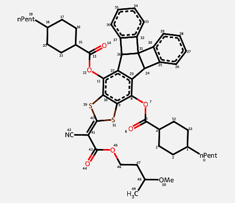 CCCCCC1CCC(C(=O)Oc2c3c(c(OC(=O)C4CCC(CCCCC)CC4)c4c2C2c5ccccc5C25c2ccccc2C45)SC(=C(C#N)C(=O)OCCC(C)OC)S3)CC1